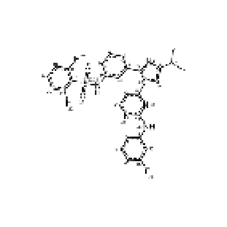 CC(C)c1nc(-c2cccc(NS(=O)(=O)c3c(F)cccc3F)c2)c(-c2ccnc(Nc3cccc(F)c3)n2)s1